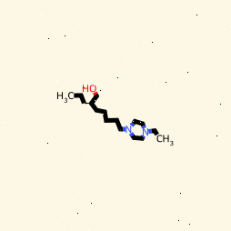 CCC[C@H](CO)CCCCCN1CCN(CC)CC1